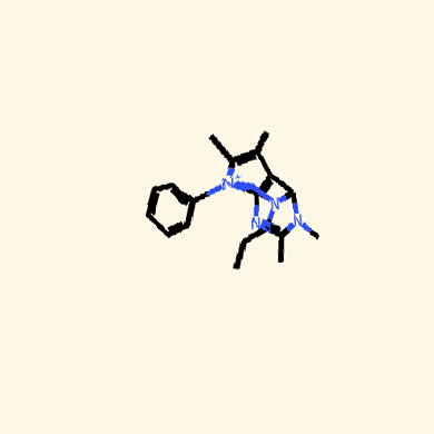 CCCN1C2C3=C(N=C(C)N2C)[N+]1(c1ccccc1)C(C)=C3C